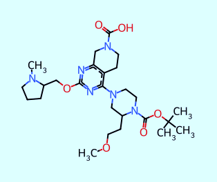 COCCC1CN(c2nc(OCC3CCCN3C)nc3c2CCN(C(=O)O)C3)CCN1C(=O)OC(C)(C)C